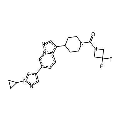 O=C(N1CCC(c2cnn3cc(-c4cnn(C5CC5)c4)ccc23)CC1)N1CC(F)(F)C1